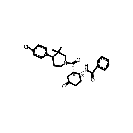 CC1(C)CN(C(=O)[C@H]2CC(=O)CC[C@H]2NC(=O)c2ccccc2)CCC1c1ccc(Cl)cc1